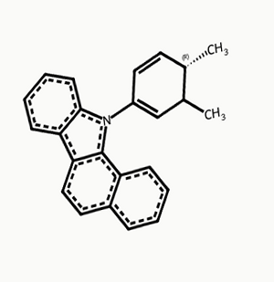 CC1C=C(n2c3ccccc3c3ccc4ccccc4c32)C=C[C@@H]1C